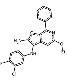 CCOc1cc2c(Nc3ccc(F)c(Cl)c3)c(N)oc2c(-c2ccccc2)n1